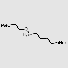 CCCCCCCCCC[SiH2]OCCOC